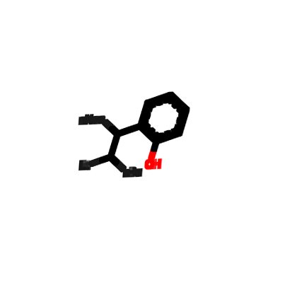 CCCCCCCCCC(c1ccccc1O)C(CC)CCCC